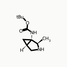 C[C@H]1NC[C@H]2C[C@]21NC(=O)OC(C)(C)C